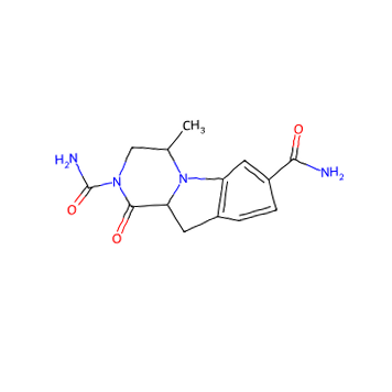 CC1CN(C(N)=O)C(=O)C2Cc3ccc(C(N)=O)cc3N12